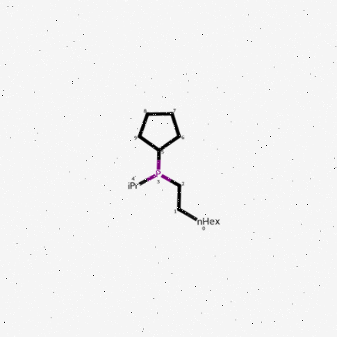 CCCCCCCCP(C(C)C)C1CCCC1